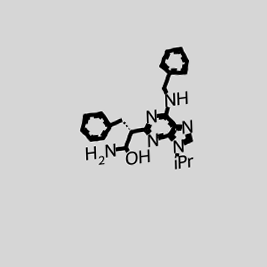 CC(C)n1cnc2c(NCc3ccccc3)nc([C@@H](Cc3ccccc3)C(N)O)nc21